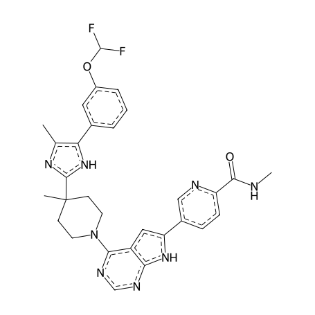 CNC(=O)c1ccc(-c2cc3c(N4CCC(C)(c5nc(C)c(-c6cccc(OC(F)F)c6)[nH]5)CC4)ncnc3[nH]2)cn1